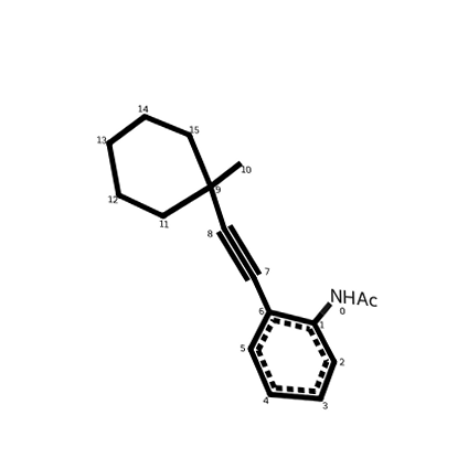 CC(=O)Nc1ccccc1C#CC1(C)CCCCC1